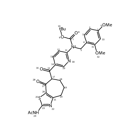 COc1ccc(CN(C(=O)OC(C)(C)C)c2ccc(C(=O)C3CCCc4nc(NC(C)=O)sc4C3=O)cn2)c(OC)c1